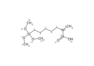 CO[Si](CCCCCN(C)C(=O)O)(OC)OC